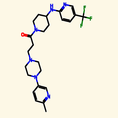 Cc1ccc(N2CCN(CCC(=O)N3CCC(Nc4ccc(C(F)(F)F)cn4)CC3)CC2)cn1